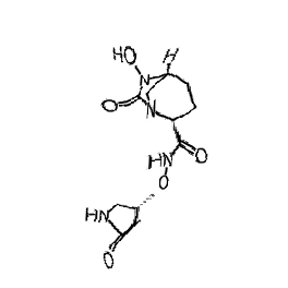 O=C1C[C@@H](ONC(=O)[C@@H]2CC[C@@H]3CN2C(=O)N3O)CN1